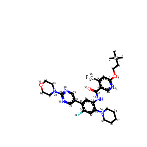 C[Si](C)(C)CCOc1cc(C(F)(F)F)c(C(=O)Nc2cc(-c3cnc(N4CCOCC4)nc3)c(F)cc2N2CC[CH]CC2)cn1